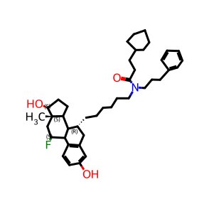 C[C@]12C[C@H](F)C3c4ccc(O)cc4C[C@@H](CCCCCCN(CCCc4ccccc4)C(=O)CCC4CCCCC4)C3C1CC[C@@H]2O